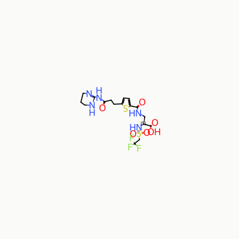 O=C(CCc1ccc(C(=O)NC[C@H](NS(=O)(=O)CC(F)(F)F)C(=O)O)s1)NC1=NCCCN1